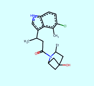 CCC1CC2(O)CC(C2)N1C(=O)CC(C)c1c[nH]c2ccc(Cl)c(C)c12